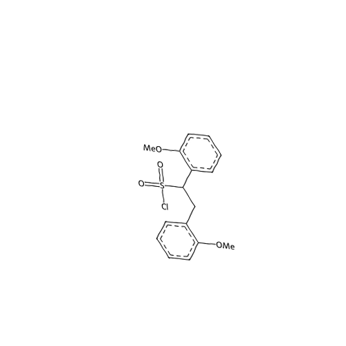 COc1ccccc1CC(c1ccccc1OC)S(=O)(=O)Cl